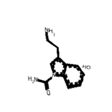 Cl.NCCc1cn(C(N)=O)c2ccccc12